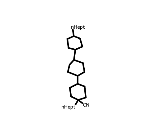 CCCCCCCC1CCC(C2CCC(C3CCC(C#N)(CCCCCCC)CC3)CC2)CC1